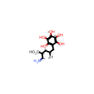 CCC(Cc1c(O)c(O)c(O)c(O)c1O)CC(CN)C(=O)O